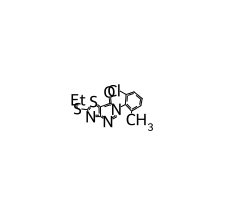 CCSc1nc2ncn(-c3c(C)cccc3Cl)c(=O)c2s1